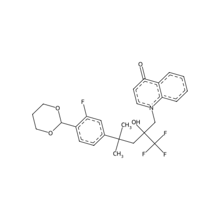 CC(C)(CC(O)(Cn1ccc(=O)c2ccccc21)C(F)(F)F)c1ccc(C2OCCCO2)c(F)c1